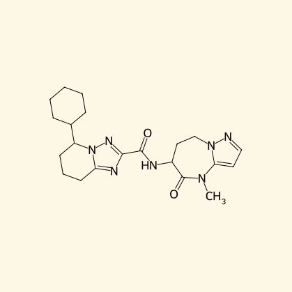 CN1C(=O)C(NC(=O)c2nc3n(n2)C(C2CCCCC2)CCC3)CCn2nccc21